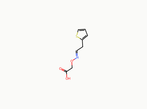 O=C(O)CON=CCc1cccs1